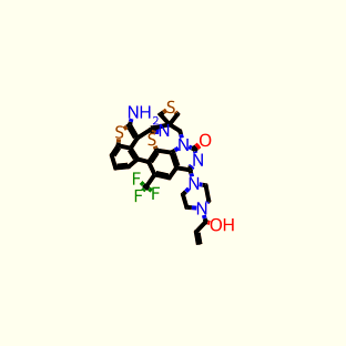 C=CC(O)N1CCN(c2nc(=O)n3c4c(c(-c5cccc6sc(N)c(C#N)c56)c(C(F)(F)F)cc24)SCC2(CSC2)C3)CC1